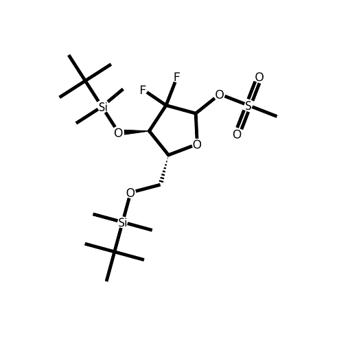 CC(C)(C)[Si](C)(C)OC[C@H]1OC(OS(C)(=O)=O)C(F)(F)[C@@H]1O[Si](C)(C)C(C)(C)C